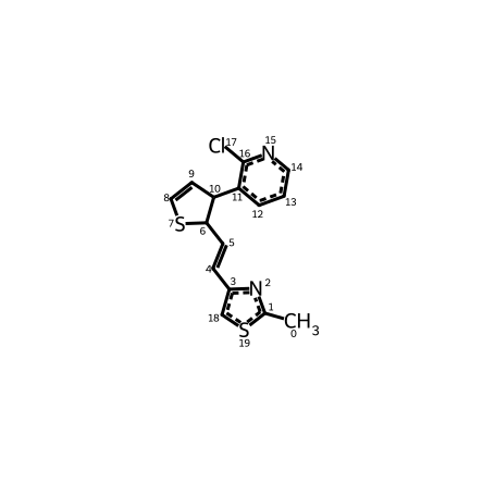 Cc1nc(C=CC2SC=CC2c2cccnc2Cl)cs1